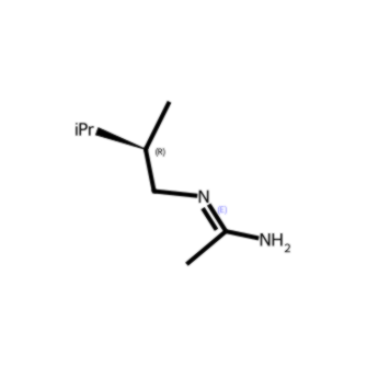 C/C(N)=N\C[C@H](C)C(C)C